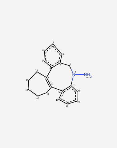 NN1Cc2ccccc2C2=C(CCCCC2)c2ccccc21